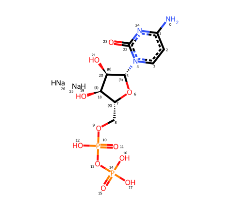 Nc1ccn([C@@H]2O[C@H](COP(=O)(O)OP(=O)(O)O)[C@@H](O)[C@H]2O)c(=O)n1.[NaH].[NaH]